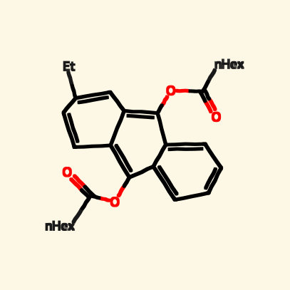 CCCCCCC(=O)Oc1c2ccccc2c(OC(=O)CCCCCC)c2cc(CC)ccc12